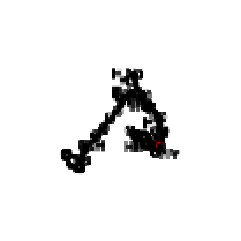 CCCC1O[C@@H]2C[C@H]3[C@@H]4CCC5=CC(=O)C=C[C@]5(C)[C@H]4[C@@H](O)C[C@]3(C)[C@]2(C(=O)COCN(C)C(=O)CNC(=O)OCc2ccc(NC(=O)[C@H](CCCNC(N)=O)NC(=O)[C@@H](NC(=O)CCOCCOCCOCCOCCNC(=O)CCC(=O)N3Cc4ccccc4C#Cc4ccccc43)C(C)C)cc2)O1